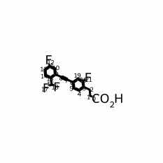 O=C(O)CCc1ccc(C#Cc2cc(F)ccc2C(F)F)cc1F